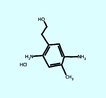 Cc1cc(N)c(CCO)cc1N.Cl